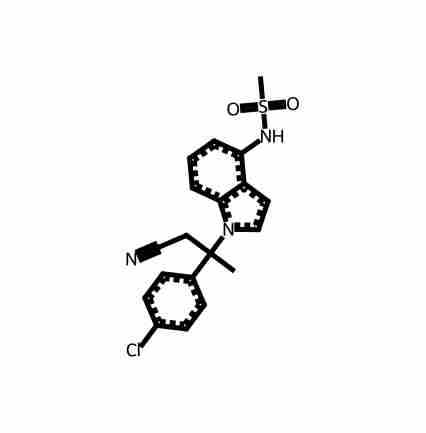 CC(CC#N)(c1ccc(Cl)cc1)n1ccc2c(NS(C)(=O)=O)cccc21